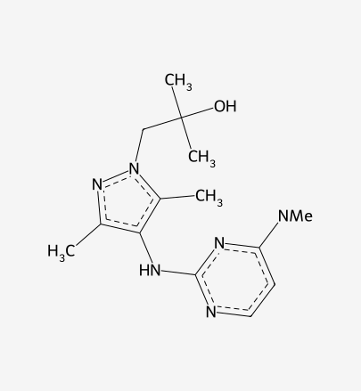 CNc1ccnc(Nc2c(C)nn(CC(C)(C)O)c2C)n1